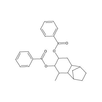 CC1C(OC(=O)c2ccccc2)C(OC(=O)c2ccccc2)CC2C3CCC(C3)C12